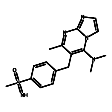 Cc1nc2nccn2c(N(C)C)c1Cc1ccc(S(C)(=N)=O)cc1